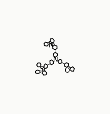 c1ccc([Si](c2ccccc2)(c2ccccc2)c2ccc(-c3ccc(N(c4ccc(-c5ccc6c(c5)oc5ccccc56)cc4)c4ccc(-c5ccc6c7cccc8c9ccccc9n(c6c5)c87)cc4)cc3)cc2)cc1